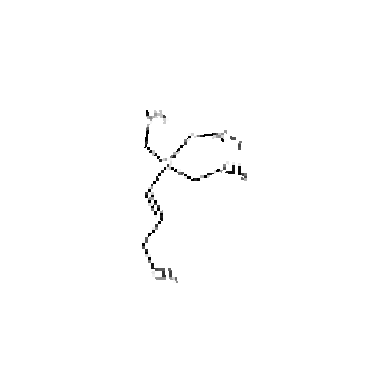 CCC=C[Si](CC)(CC)CC